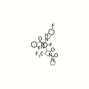 O=C1C(c2nn(C(=O)c3ccccc3F)c(NCc3ccc(F)cc3)c2F)C(C(F)(F)F)CN1C(=O)N1CCCC1